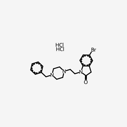 Cl.Cl.O=C1Cc2cc(Br)ccc2N1CCN1CCN(Cc2ccccc2)CC1